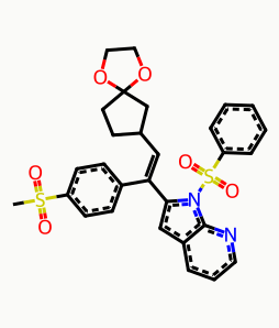 CS(=O)(=O)c1ccc(/C(=C\C2CCC3(C2)OCCO3)c2cc3cccnc3n2S(=O)(=O)c2ccccc2)cc1